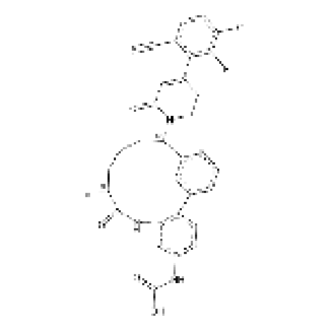 C#Cc1ccc(Cl)c(F)c1C1=CC(=O)N([C@H]2CCC[C@@H](C)C(=O)Nc3cc(NC(=O)O)ccc3-c3ccnc2c3)CC1